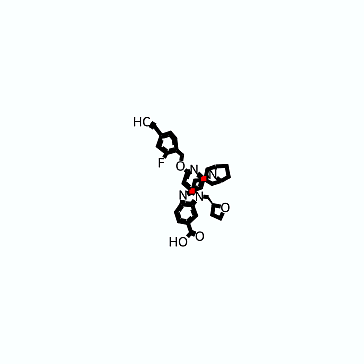 C#Cc1ccc(COc2cccc(N3C4CCC3CC(Cc3nc5ccc(C(=O)O)cc5n3C[C@@H]3CCO3)C4)n2)c(F)c1